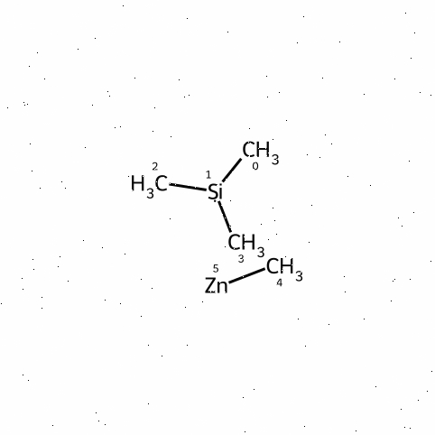 C[Si](C)C.[CH3][Zn]